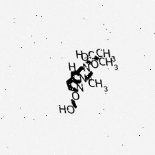 C[C@@H]1CN(C(=O)OC(C)(C)C)C[C@H]2Cc3ccc(OCCO)nc3N21